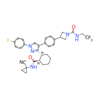 N#CC1(NC(=O)[C@@H]2CCCC[C@H]2c2nn(-c3ccc(F)cc3)cc2-c2ccc(C3CN(C(=O)NCC(F)(F)F)C3)cc2)CC1